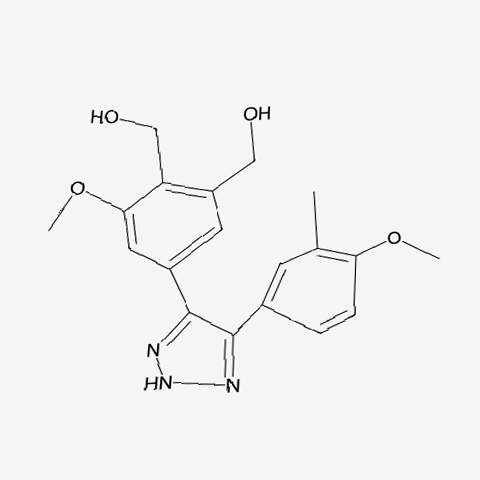 COc1ccc(-c2n[nH]nc2-c2cc(CO)c(CO)c(OC)c2)cc1C